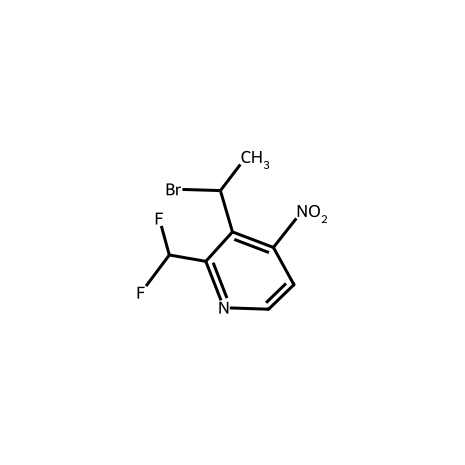 CC(Br)c1c([N+](=O)[O-])ccnc1C(F)F